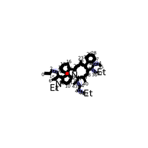 C=C/C=C\c1c(C)n(CC)c2ccc(-n3c(-c4ccccc4)cc(C)c(-c4ccccc4)c(C(/C=C\C)=C/CC)cc(C)c3/C(C)=C/C=C\CC)cc12